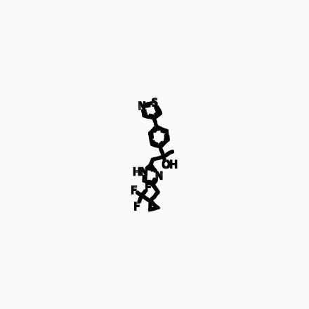 CC(O)(Cc1nc(CC2(C(F)(F)F)CC2)c[nH]1)c1ccc(-c2cnsc2)cc1